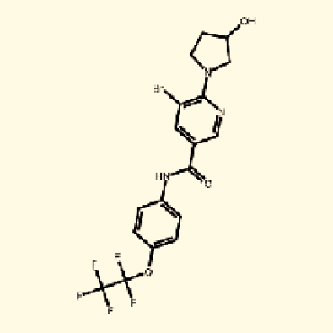 O=C(Nc1ccc(OC(F)(F)C(F)(F)F)cc1)c1cnc(N2CCC(O)C2)c(Br)c1